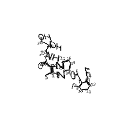 Cc1nc2c(OCc3c(F)cccc3F)cccn2c1C(=O)NC[C@H](O)CO